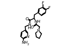 Nc1ccc(CNC(=O)C(Cc2ccc(F)c(F)c2)NC(=O)CN2CCCC2)cn1